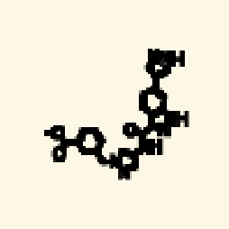 COC(=O)c1cccc(Cn2cc(NC(=O)c3n[nH]c4cc(-c5cn[nH]c5)ccc34)cn2)c1